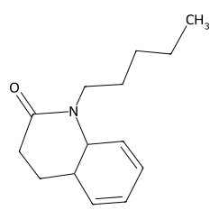 CCCCCN1C(=O)CCC2C=CC=CC21